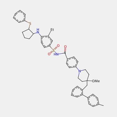 CCc1cc(S(=O)(=O)NC(=O)c2ccc(N3CCC(Cc4ccccc4-c4ccc(C)cc4)(OC)CC3)cc2)ccc1NC1CCCC1Sc1ccccc1